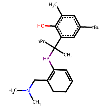 CCCC(C)(PC1=C(CN(C)C)CCC=C1)c1cc(C(C)(C)C)cc(C)c1O